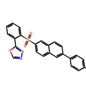 O=S(=O)(c1ccc2cc(-c3ccc(F)cc3)ccc2c1)c1ccccc1-c1nnco1